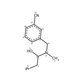 CC(C)CC(O)N(C)Cc1cccc(C#N)c1